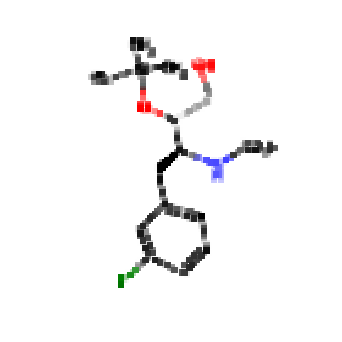 CC(C)(C)[Si](C)(C)O[C@H](CO)[C@H](Cc1cccc(F)c1)NC(=O)O